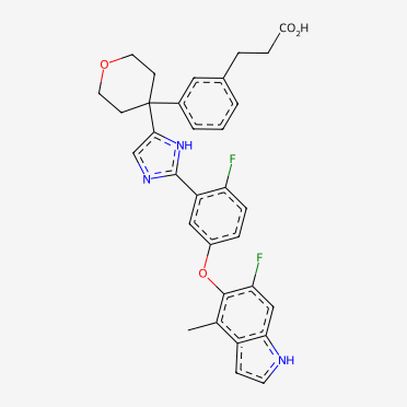 Cc1c(Oc2ccc(F)c(-c3ncc(C4(c5cccc(CCC(=O)O)c5)CCOCC4)[nH]3)c2)c(F)cc2[nH]ccc12